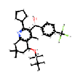 Cc1c2c(nc(C3CCCC3)c1[C@H](O)c1ccc(C(F)(F)F)cc1)CC(C)(C)CC2O[Si](C)(C)C(C)(C)C